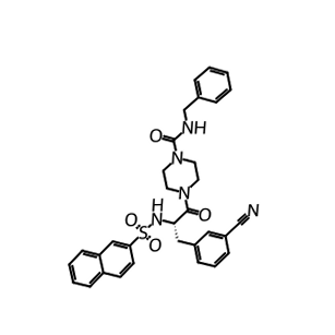 N#Cc1cccc(C[C@H](NS(=O)(=O)c2ccc3ccccc3c2)C(=O)N2CCN(C(=O)NCc3ccccc3)CC2)c1